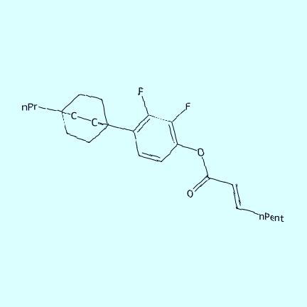 CCCCCC=CC(=O)Oc1ccc(C23CCC(CCC)(CC2)CC3)c(F)c1F